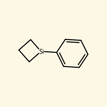 c1ccc([Si]2CCC2)cc1